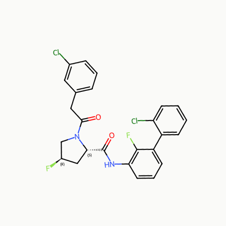 O=C(Nc1cccc(-c2ccccc2Cl)c1F)[C@@H]1C[C@@H](F)CN1C(=O)Cc1cccc(Cl)c1